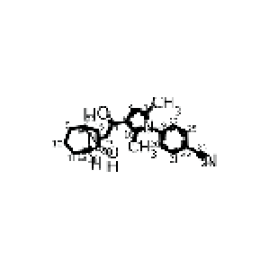 Cc1cc(C(=O)CN2[C@H]3CCC[C@@H]2[C@@H](O)C3)c(C)n1-c1ccc(C#N)cc1